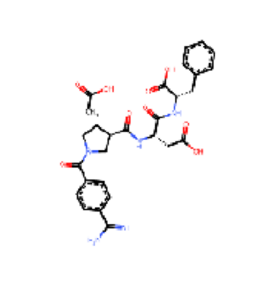 CC(=O)O.N=C(N)c1ccc(C(=O)N2CC[C@@H](C(=O)N[C@@H](CC(=O)O)C(=O)N[C@@H](Cc3ccccc3)C(=O)O)C2)cc1